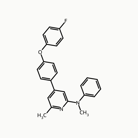 Cc1cc(-c2ccc(Oc3ccc(F)cc3)cc2)cc(N(C)c2ccccc2)n1